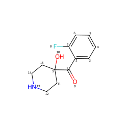 O=C(c1ccccc1F)C1(O)CCNCC1